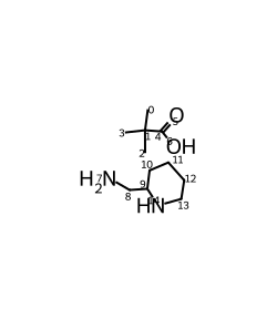 CC(C)(C)C(=O)O.NCC1CCCCN1